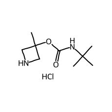 CC(C)(C)NC(=O)OC1(C)CNC1.Cl